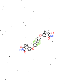 CC1=C(c2ccc(Oc3ccc(C(c4ccc(Oc5ccc(C6=C(C)C(=O)NC6=O)cc5)cc4)(C(F)(F)F)C(F)(F)F)cc3)cc2)C(=O)NC1=O